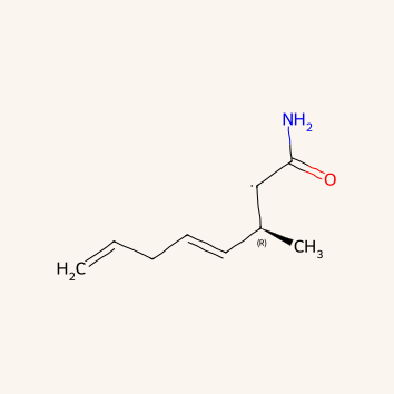 C=CCC=C[C@H](C)[CH]C(N)=O